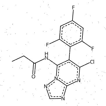 CCC(=O)Nc1c(-c2c(F)cc(F)cc2F)c(Cl)nc2ncnn12